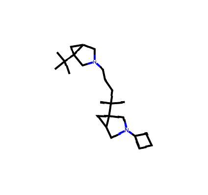 CC(C)(C)C12CC1CN(CCCC(C)(C)C13CC1CN(C1CCC1)C3)C2